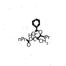 CCCC(=O)OCC(C)(C)C(OC(=O)c1ccccc1)C(C)C